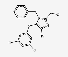 CC(C)c1nc(CCl)n(Cc2ccncc2)c1Sc1cc(Cl)cc(Cl)c1